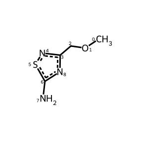 COCc1nsc(N)n1